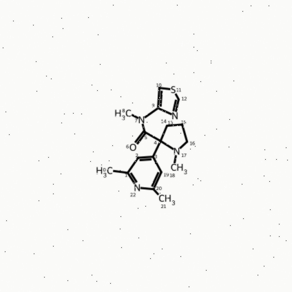 Cc1cc(C2(C(=O)N(C)c3cscn3)CCCN2C)cc(C)n1